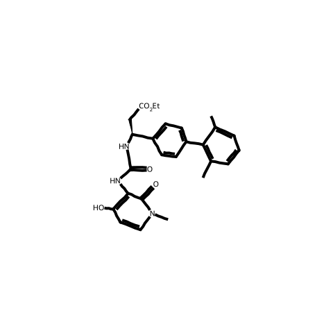 CCOC(=O)C[C@H](NC(=O)Nc1c(O)ccn(C)c1=O)c1ccc(-c2c(C)cccc2C)cc1